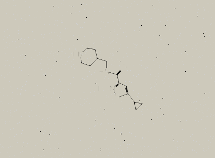 Cl.O=C(NCC1CCNCC1)c1cc(C2CC2)on1